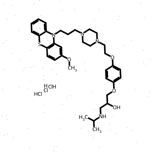 COc1ccc2c(c1)N(CCCN1CCN(CCOc3ccc(OCC(O)CNC(C)C)cc3)CC1)c1ccccc1S2.Cl.Cl.Cl